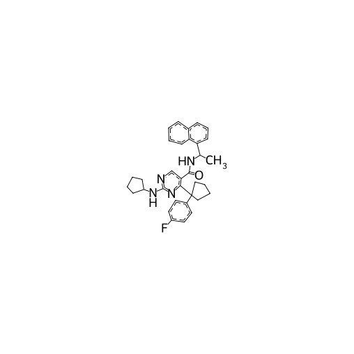 CC(NC(=O)c1cnc(NC2CCCC2)nc1C1(c2ccc(F)cc2)CCCC1)c1cccc2ccccc12